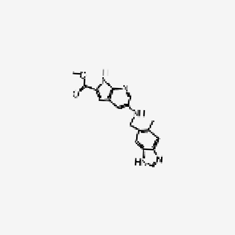 COC(=O)c1cc2cc(NCc3cc4[nH]cnc4cc3C)cnc2[nH]1